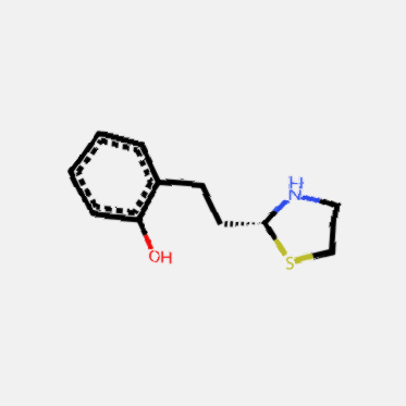 Oc1ccccc1CC[C@@H]1NCCS1